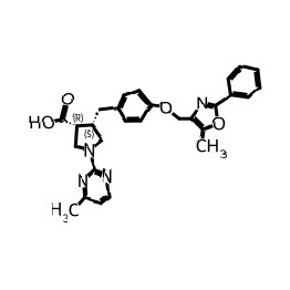 Cc1ccnc(N2C[C@@H](Cc3ccc(OCc4nc(-c5ccccc5)oc4C)cc3)[C@@H](C(=O)O)C2)n1